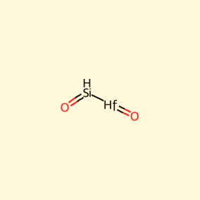 O=[SiH][Hf]=[O]